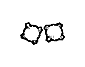 c1c2nc(cc3ccc(cc4ccc(cc5nc1CC5)[nH]4)[nH]3)CC2.c1cc2cc3nc(cc4ccc(cc5nc(cc1[nH]2)CC5)[nH]4)CC3